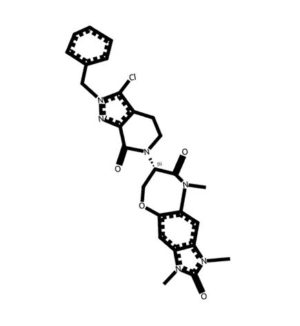 CN1C(=O)[C@@H](N2CCc3c(nn(Cc4ccccc4)c3Cl)C2=O)COc2cc3c(cc21)n(C)c(=O)n3C